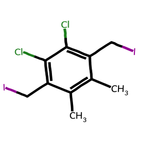 Cc1c(C)c(CI)c(Cl)c(Cl)c1CI